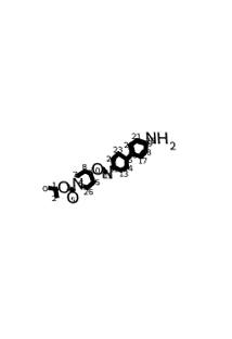 CC(C)OC(=O)N1CCC(ON=C2CCC(c3ccc(N)cc3)CC2)CC1